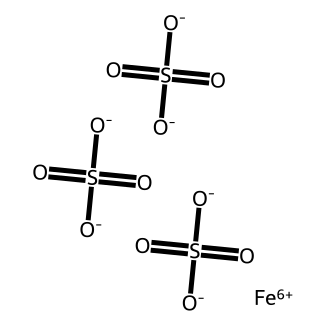 O=S(=O)([O-])[O-].O=S(=O)([O-])[O-].O=S(=O)([O-])[O-].[Fe+6]